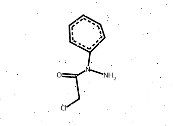 NN(C(=O)CCl)c1ccccc1